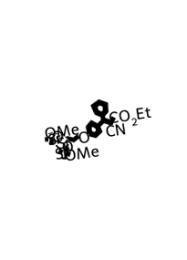 CCOC(=O)/C(C#N)=C(\c1ccccc1)c1ccc(OCCC[Si](C)(O[Si](C)(C)OC)O[Si](C)(C)OC)cc1